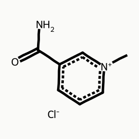 C[n+]1cccc(C(N)=O)c1.[Cl-]